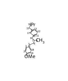 COc1ccc(CCC(C)Cc2cccc(CC(C)C)c2)cc1